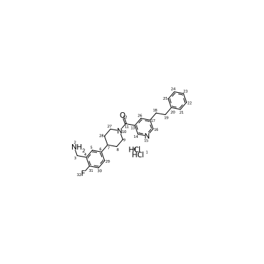 Cl.Cl.NCc1cc(C2CCN(C(=O)c3cncc(CCc4ccccc4)c3)CC2)ccc1F